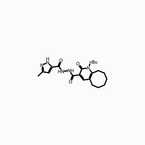 CCCCn1c2c(cc(C(=O)NNC(=O)c3cc(C)n[nH]3)c1=O)CCCCCC2